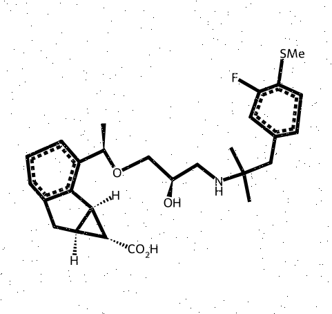 CSc1ccc(CC(C)(C)NC[C@@H](O)CO[C@H](C)c2cccc3c2[C@@H]2[C@H](C3)[C@H]2C(=O)O)cc1F